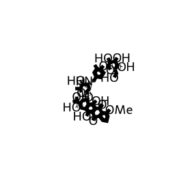 COc1cccc2c1C(=O)c1c(O)c3c(c(O)c1C2=O)C[C@@](O)(C(C)O)C[C@@H]3O[C@H]1C[C@@H](NCc2ccc(O[C@@H]3OC(CO)[C@@H](O)C(O)C3O)c(C)c2)[C@H](O)C(C)O1